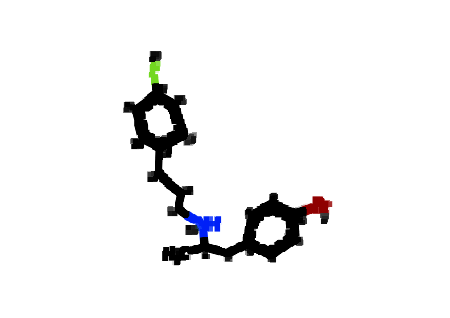 CC(Cc1ccc(Br)cc1)NCCCc1ccc(F)cc1